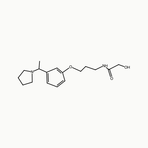 CC(c1cccc(OCCCNC(=O)CO)c1)N1CCCC1